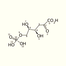 O=C(O)C(=O)C[C@@H](O)[C@H](O)COP(=O)(O)O